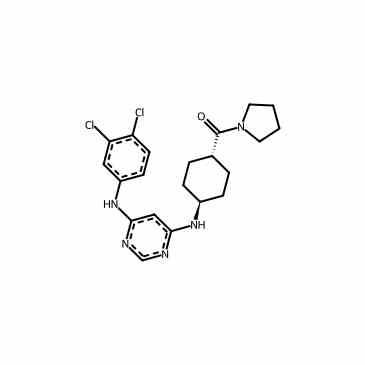 O=C([C@H]1CC[C@H](Nc2cc(Nc3ccc(Cl)c(Cl)c3)ncn2)CC1)N1CCCC1